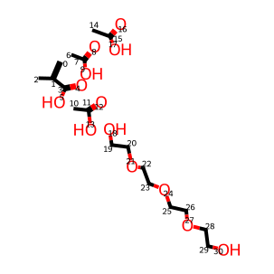 C=C(C)C(=O)O.CC(=O)O.CC(=O)O.CC(=O)O.OCCOCCOCCOCCO